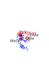 CC[C@H]1OC(=O)[C@H](C)C([C@H]2C[C@@](C)(OC)[C@@H](O)[C@H](C)O2)[C@H](C)[C@@H](O[C@H]2C[C@@H](N(C)CCc3cn([C@H](CF)[C@H](OC)c4ccc(-c5cnc(N)nc5)cc4)nn3)C[C@@H](C)O2)[C@](C)(OC)C[C@@H](C)C(=O)[C@H](C)[C@H]2N(NC(=O)C3CC3)C(=O)O[C@]12C